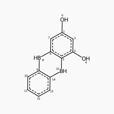 Oc1cc(O)c2c(c1)Bc1ccccc1B2